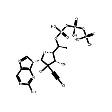 C[C@H](OP(=O)(O)OP(=O)(O)OP(=O)(O)O)[C@H]1O[C@@H](n2cnc3cnc(N)nc32)C(Cl)(C#CCl)[C@H]1O